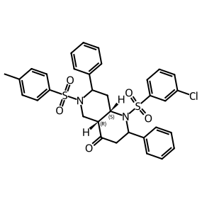 Cc1ccc(S(=O)(=O)N2C[C@H]3C(=O)CC(c4ccccc4)N(S(=O)(=O)c4cccc(Cl)c4)[C@H]3CC2c2ccccc2)cc1